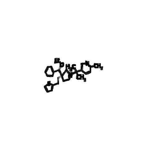 CCO[C@@H](c1ccccc1)[C@]1(CCc2cccs2)CCN(C(C)(C)c2ccc(C)nc2)C1